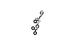 O=C(NCCCN1CCOCC1)c1ccccc1OC1CCN(CC(c2ccccc2)c2ccccc2)CC1